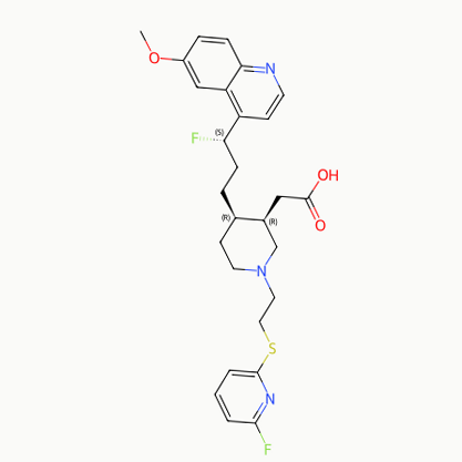 COc1ccc2nccc([C@@H](F)CC[C@@H]3CCN(CCSc4cccc(F)n4)C[C@@H]3CC(=O)O)c2c1